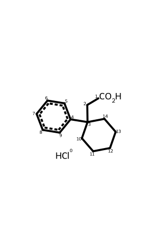 Cl.O=C(O)CC1(c2ccccc2)CCCCC1